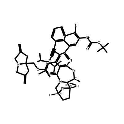 C=C1CN2CC(=C)CC2(COc2nc3c4c(nc(-c5cc(NC(=O)OC(C)(C)C)c(F)c6cccc(C#C[Si](C(C)C)(C(C)C)C(C)C)c56)c(F)c4n2)O[C@@H](C)[C@@H]2[C@@H]4CC[C@H](CN32)N4)C1